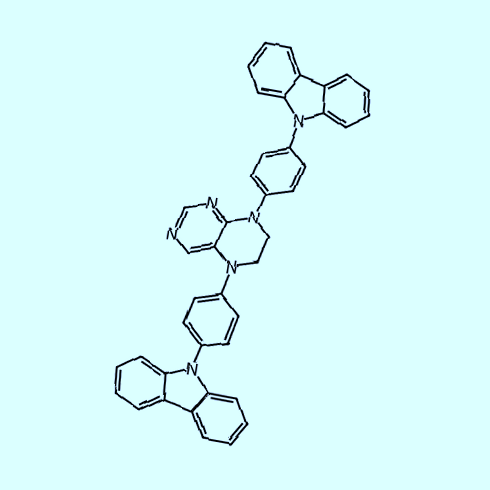 c1ccc2c(c1)c1ccccc1n2-c1ccc(N2CCN(c3ccc(-n4c5ccccc5c5ccccc54)cc3)c3ncncc32)cc1